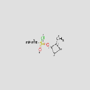 CC1CCC1.CCCCCS(=O)(=O)Cl